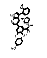 COc1ccccc1-c1c[nH]c2ncc(-c3cc(F)c(N[C@H]4CC[C@H](O)CC4)c(C(=O)N(C)[C@H]4CCN(C)C4)c3)cc12